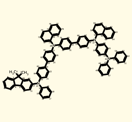 CC1(C)c2ccccc2-c2ccc(N(c3ccccc3)c3ccc(-c4ccc(N(c5ccc(-c6ccc(N(c7ccc(N(c8ccccc8)c8ccccc8)cc7)c7cccc8ccccc78)cc6)cc5)c5cccc6ccccc56)cc4)cc3)cc21